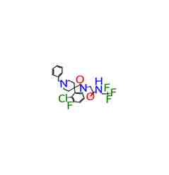 O=C(CN1C(=O)C2(CCN(Cc3ccccc3)CC2)c2c1ccc(F)c2Cl)NCC(F)(F)F